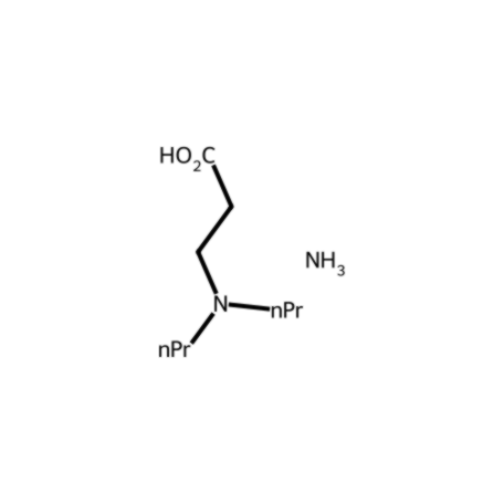 CCCN(CCC)CCC(=O)O.N